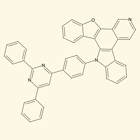 c1ccc(-c2cc(-c3ccc(-n4c5ccccc5c5c6ccncc6c6oc7ccccc7c6c54)cc3)nc(-c3ccccc3)n2)cc1